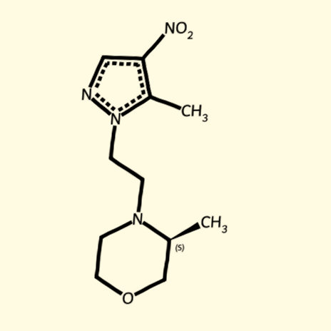 Cc1c([N+](=O)[O-])cnn1CCN1CCOC[C@@H]1C